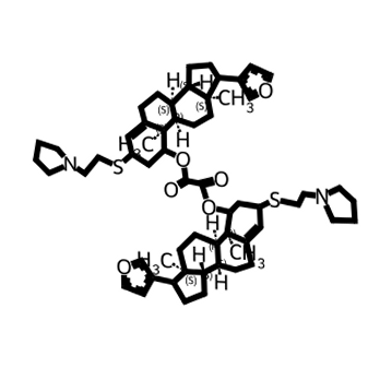 C[C@]12CC[C@@H]3[C@@H](CCC4=CC(SCCN5CCCC5)CC(OC(=O)C(=O)OC5CC(SCCN6CCCC6)C=C6CC[C@@H]7[C@@H](CC[C@]8(C)C(c9ccoc9)CC[C@@H]78)[C@]65C)[C@@]43C)[C@@H]1CCC2c1ccoc1